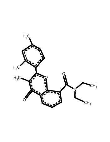 CCN(CC)C(=O)c1cccc2c(=O)c(C)c(-c3ccc(C)cc3C)oc12